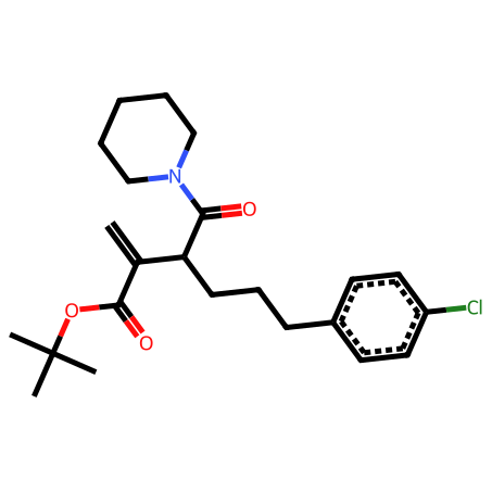 C=C(C(=O)OC(C)(C)C)C(CCCc1ccc(Cl)cc1)C(=O)N1CCCCC1